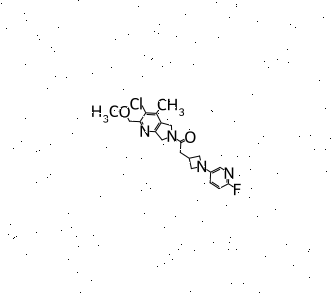 COCc1nc2c(c(C)c1Cl)CN(C(=O)CC1CN(c3ccc(F)nc3)C1)C2